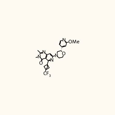 COc1cc([C@H]2CN(c3cc4nc(C)n(C)c(=O)c4c(C45CC(C(F)(F)F)(C4)C5)n3)CCO2)ccn1